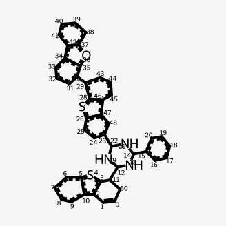 C1=Cc2c(sc3ccccc23)C(C2NC(c3ccccc3)NC(c3ccc4sc5c(-c6cccc7c6oc6ccccc67)cccc5c4c3)N2)C1